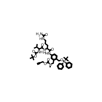 C#CCOC(=O)N(C)Cc1cc(NC(=O)C(CCCNC(N)=O)NC(=O)C(NC(=O)OC(C)(C)C)C(C)C)ccc1CO[Si](c1ccccc1)(c1ccccc1)C(C)(C)C